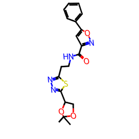 CC1(C)OCC(c2nnc(CCNC(=O)c3cc(-c4ccccc4)on3)s2)O1